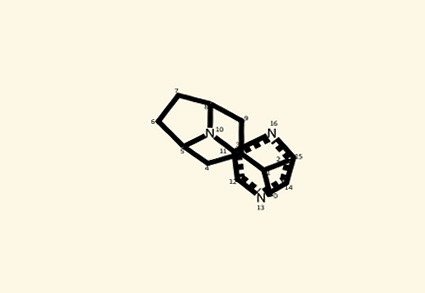 CC(C)C1CC2CCC(C1)N2c1cnccn1